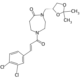 CC1(C)OC[C@@H](CN2CCN(C(=O)C=Cc3ccc(Cl)c(Cl)c3)CCC2=O)O1